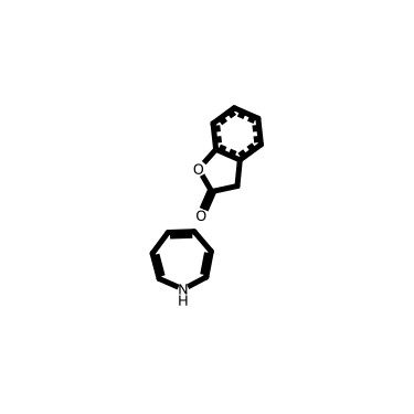 C1=CC=CNC=C1.O=C1Cc2ccccc2O1